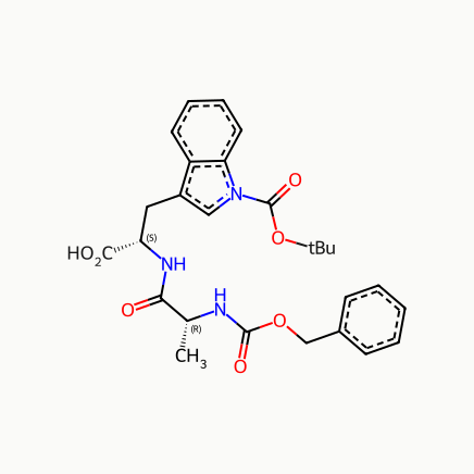 C[C@@H](NC(=O)OCc1ccccc1)C(=O)N[C@@H](Cc1cn(C(=O)OC(C)(C)C)c2ccccc12)C(=O)O